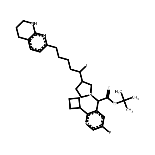 CC(C)(C)OC(=O)C(c1cc(F)cnc1C1CCC1)N1CCC(C(F)CCCCc2ccc3c(n2)NCCC3)C1